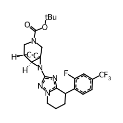 CC(C)(C)OC(=O)N1C[C@@H]2CC[C@]3(C1)[C@H]2N3c1nc2n(n1)CCCC2c1ccc(C(F)(F)F)cc1F